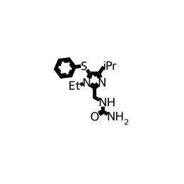 CCn1c(CNC(N)=O)nc(C(C)C)c1Sc1ccccc1